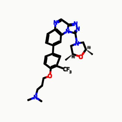 C[C@@H]1CN(c2nnc3cnc4ccc(-c5ccc(OCCCN(C)C)c(C(F)(F)F)c5)cc4n23)C[C@H](C)O1